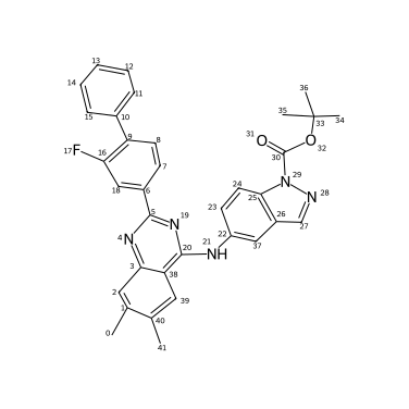 Cc1cc2nc(-c3ccc(-c4ccccc4)c(F)c3)nc(Nc3ccc4c(cnn4C(=O)OC(C)(C)C)c3)c2cc1C